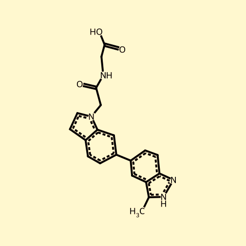 Cc1[nH]nc2ccc(-c3ccc4ccn(CC(=O)NCC(=O)O)c4c3)cc12